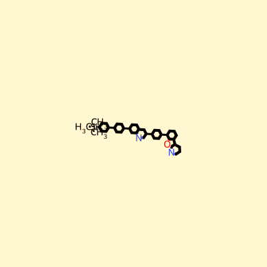 C[Si](C)(C)c1ccc(-c2ccc(-c3ccc4cc(-c5ccc(-c6cccc7c6oc6ncccc67)cc5)cnc4c3)cc2)cc1